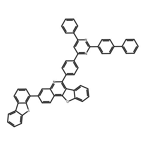 c1ccc(-c2ccc(-c3nc(-c4ccccc4)cc(-c4ccc(-c5nc6cc(-c7cccc8c7sc7ccccc78)ccc6c6oc7ccccc7c56)cc4)n3)cc2)cc1